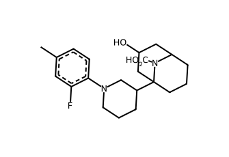 Cc1ccc(N2CCCC(C34CCCC(CC(O)C3)N4C(=O)O)C2)c(F)c1